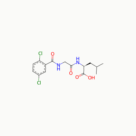 CC(C)C[C@H](NC(=O)CNC(=O)c1cc(Cl)ccc1Cl)C(=O)O